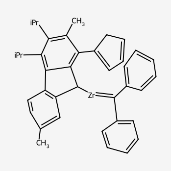 Cc1ccc2c(c1)[CH]([Zr]=[C](c1ccccc1)c1ccccc1)c1c(C3=CC=CC3)c(C)c(C(C)C)c(C(C)C)c1-2